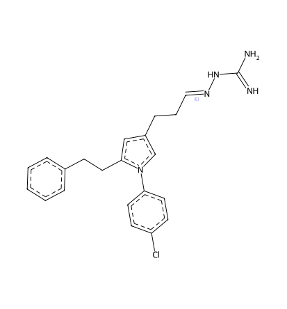 N=C(N)N/N=C/CCc1cc(CCc2ccccc2)n(-c2ccc(Cl)cc2)c1